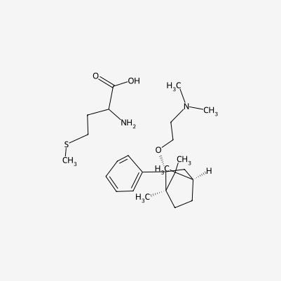 CN(C)CCO[C@]1(c2ccccc2)C[C@H]2CC[C@]1(C)C2(C)C.CSCCC(N)C(=O)O